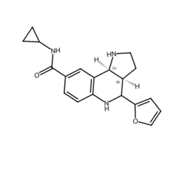 O=C(NC1CC1)c1ccc2c(c1)[C@H]1NCC[C@H]1C(c1ccco1)N2